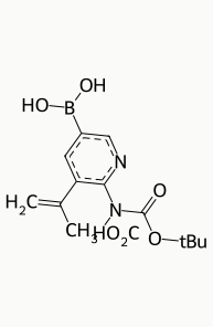 C=C(C)c1cc(B(O)O)cnc1N(C(=O)O)C(=O)OC(C)(C)C